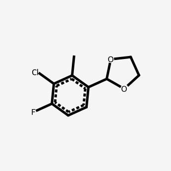 Cc1c(C2OCCO2)ccc(F)c1Cl